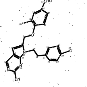 N#Cc1ncc2cc(COc3ccc(C=O)cc3F)n(CCc3ccc(Cl)cc3)c2n1